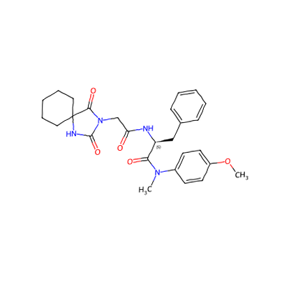 COc1ccc(N(C)C(=O)[C@H](Cc2ccccc2)NC(=O)CN2C(=O)NC3(CCCCC3)C2=O)cc1